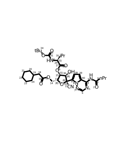 CCCC(=O)Nc1ncnn2c([C@]3(C#N)O[C@H](COC(=O)CC4CCCCC4)[C@@H](OC(=O)[C@@H](NC(=O)OC(C)(C)C)C(C)C)[C@H]3O)ccc12